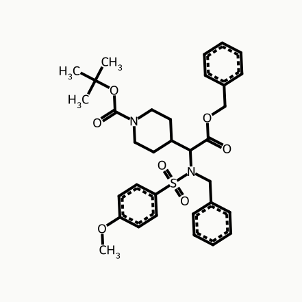 COc1ccc(S(=O)(=O)N(Cc2ccccc2)C(C(=O)OCc2ccccc2)C2CCN(C(=O)OC(C)(C)C)CC2)cc1